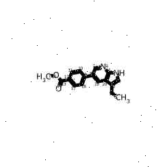 CCc1c[nH]c2ncc(-c3ccc(C(=O)OC)cc3)cc12